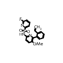 C=Cc1ccccc1-c1nc(NS(=O)(=O)c2cccc(F)n2)ccc1OC